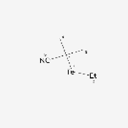 CC[Te]C(C)(C)C#N